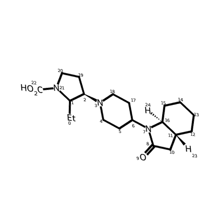 CCC1[C@H](N2CCC(N3C(=O)C[C@H]4CCCC[C@@H]43)CC2)CCN1C(=O)O